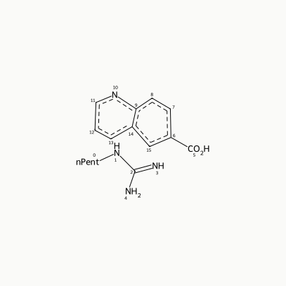 CCCCCNC(=N)N.O=C(O)c1ccc2ncccc2c1